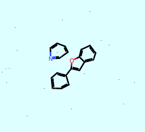 c1ccc(-c2cc3ccccc3o2)cc1.c1ccncc1